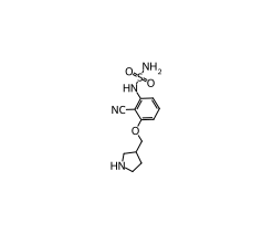 N#Cc1c(NS(N)(=O)=O)cccc1OCC1CCNC1